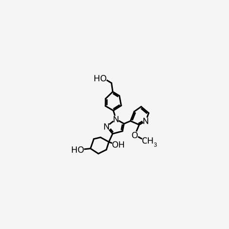 COc1ncccc1-c1cc(C2(O)CCC(O)CC2)nn1-c1ccc(CO)cc1